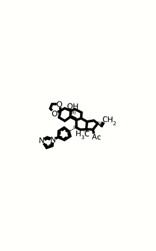 C=C[C@@H]1CC2C3CC[C@@]4(O)CC5(CCC4=C3[C@@H](c3ccc(-n4ccnc4)cc3)C[C@]2(C)C1C(C)=O)OCCO5